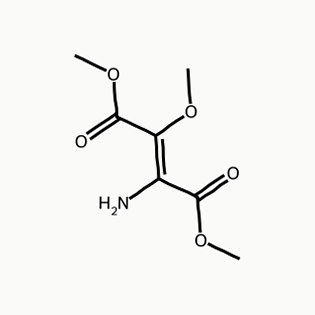 COC(=O)C(N)=C(OC)C(=O)OC